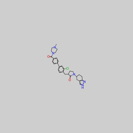 CN1CCN(C(=O)c2ccc(-c3ccc(CC4CCN(C5CCc6n[nH]cc6C5)C4=O)c(Cl)c3)cc2)CC1